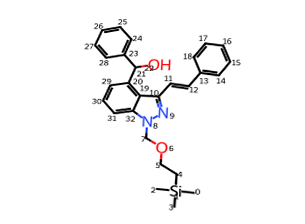 C[Si](C)(C)CCOCn1nc(C=Cc2ccccc2)c2c(C(O)c3ccccc3)cccc21